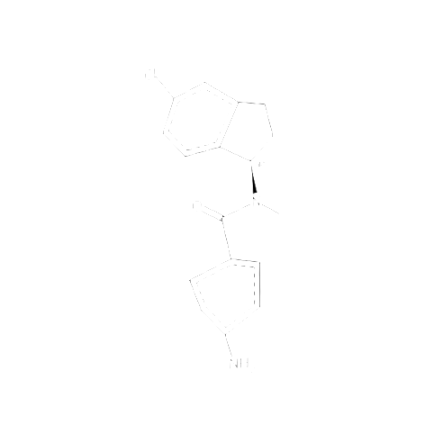 CN(C(=O)c1ccc(N)cc1)[C@@H]1CCc2cc(Cl)ccc21